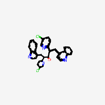 O=C(C(Cc1ccnc2ccccc12)c1ccc(Cl)cn1)C(Cc1ccnc2ccccc12)c1ccc(Cl)cn1